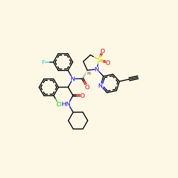 C#Cc1ccnc(N2[C@H](C(=O)N(c3cccc(F)c3)C(C(=O)NC3CCCCC3)c3ccccc3Cl)CCS2(=O)=O)c1